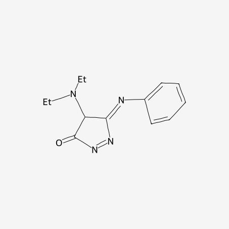 CCN(CC)C1C(=O)N=NC1=Nc1ccccc1